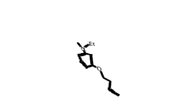 C=CCCOc1cccc(N(C)CC)c1